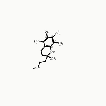 CC(=O)OCCC1(C)CCc2c(C)c(O)c(C)c(C)c2O1